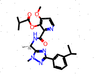 COc1ccnc(C(=O)N[C@@H](C)c2nc(-c3cccc(C(C)C)c3)nn2C)c1OC(=O)C(C)C